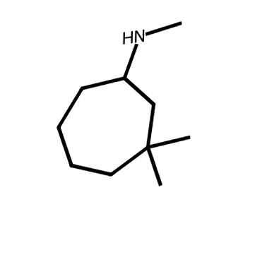 CNC1CCCCC(C)(C)C1